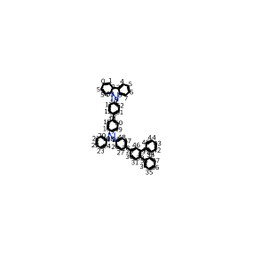 C1=CC2c3ccccc3N(c3ccc(-c4ccc(N(c5ccccc5)c5ccc(-c6ccc(-c7ccccc7)c(-c7ccccc7)c6)cc5)cc4)cc3)C2C=C1